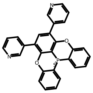 S=P12c3ccccc3Oc3c(-c4cccnc4)cc(-c4cccnc4)c(c31)Oc1ccccc12